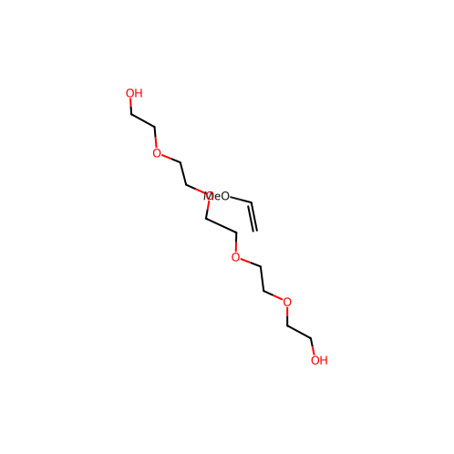 C=COC.OCCOCCOCCOCCOCCO